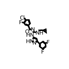 O=C(/N=C(/NCC1CC1)Nc1cc(-c2cc(F)cc(F)c2)n[nH]1)c1ccc(Cl)c(F)c1